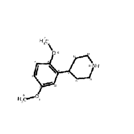 COc1ccc(OC)c(C2CCNCC2)c1